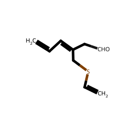 C=C/C=C(/CC=O)CSC=C